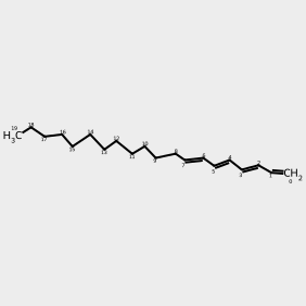 C=CC=CC=CC=CCCCCCCCCCCCC